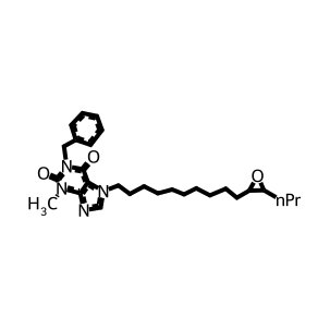 CCCC1OC1CCCCCCCCCCn1cnc2c1c(=O)n(Cc1ccccc1)c(=O)n2C